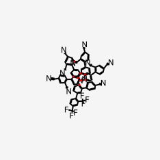 N#Cc1ccc(-c2ccc3c(c2)c2cc(-c4ccc(C#N)cc4C#N)ccc2n3-c2ccc(-c3ccc(C(F)(F)F)cc3C(F)(F)F)cc2-c2ccc(C#N)cc2-n2c3ccc(-c4ccc(C#N)cc4C#N)cc3c3cc(-c4ccc(C#N)cc4C#N)ccc32)c(C#N)c1